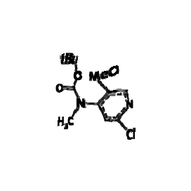 COc1cnc(Cl)cc1N(C)C(=O)OC(C)(C)C